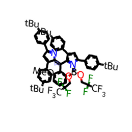 COc1ccccc1/C(=C1/N=C(c2ccc(C(C)(C)C)cc2)C=C1c1ccc(C(C)(C)C)cc1)c1c(-c2ccc(C(C)(C)C)cc2)cc(-c2ccc(C(C)(C)C)cc2)n1B(OCC(F)(F)C(F)(F)F)OCC(F)(F)C(F)(F)F